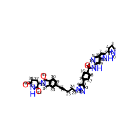 CN1CCC[C@@H]1c1cc2cnc(NC(=O)c3ccc(-c4cnn(CCCC#Cc5ccc6c(c5)CN(C5CCC(=O)NC5=O)C6=O)c4)cc3)cc2[nH]1